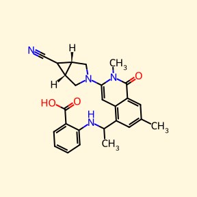 Cc1cc(C(C)Nc2ccccc2C(=O)O)c2cc(N3C[C@@H]4C(C#N)[C@@H]4C3)n(C)c(=O)c2c1